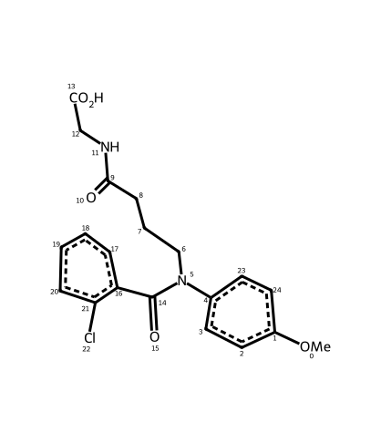 COc1ccc(N(CCCC(=O)NCC(=O)O)C(=O)c2ccccc2Cl)cc1